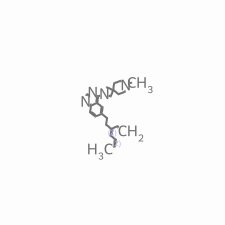 C=C/C(=C\C=C/C)CCc1ccc2ncnc(N3CC4(CCN(C)CC4)C3)c2c1